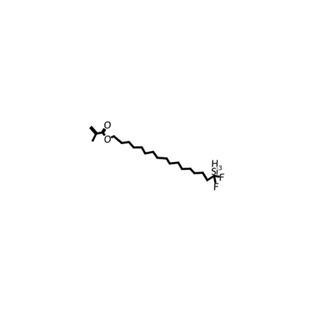 C=C(C)C(=O)OCCCCCCCCCCCCCCCCC(F)(F)[SiH3]